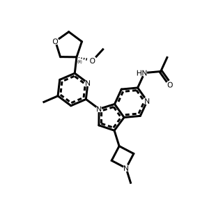 CO[C@@]1(c2cc(C)cc(-n3cc(C4CN(C)C4)c4cnc(NC(C)=O)cc43)n2)CCOC1